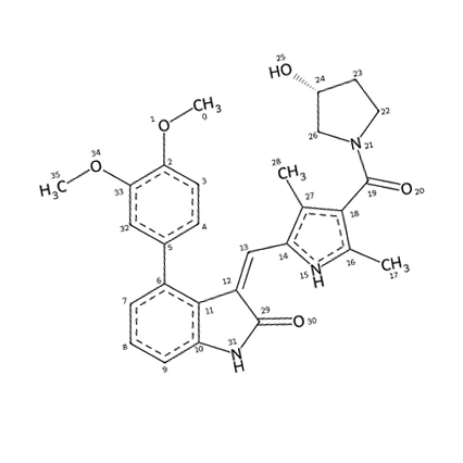 COc1ccc(-c2cccc3c2/C(=C/c2[nH]c(C)c(C(=O)N4CC[C@@H](O)C4)c2C)C(=O)N3)cc1OC